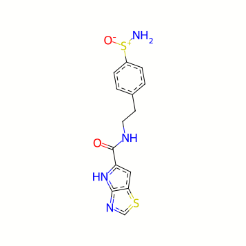 N[S+]([O-])c1ccc(CCNC(=O)c2cc3scnc3[nH]2)cc1